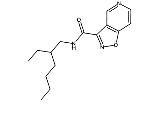 CCCCC(CC)CNC(=O)c1noc2ccncc12